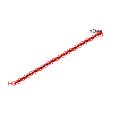 CCCCCCCCCCCC(=O)OCCOCCOCCOCCOCCOCCOCCOCCOCCOCCOCCOCCOCCOCCOCCOCCOCCOCCOCCOCCOCCOCCOCCOCCOCCOCCOCCOCCOCCOCCO